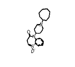 O=C1CC=[N+]([O-])c2ccccc2N1C1CCN(C2CCCCCCC2)CC1